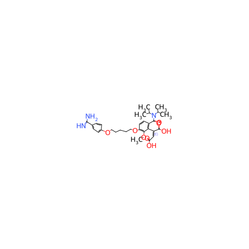 COc1c(OCCCCCOc2ccc(C(=N)N)cc2)ccc(C(=O)N(C(C)C)C(C)C)c1/C(=C\C(=O)O)C(=O)O